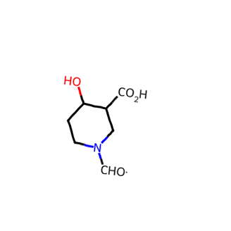 O=[C]N1CCC(O)C(C(=O)O)C1